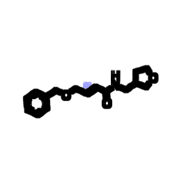 O=C(/C=C/COCc1ccccc1)NCC1CCOC1